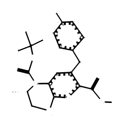 CNC(=O)c1nc2c(cc1Cc1ccc(F)cc1)N(C(=O)OC(C)(C)C)[C@@H](C)CO2